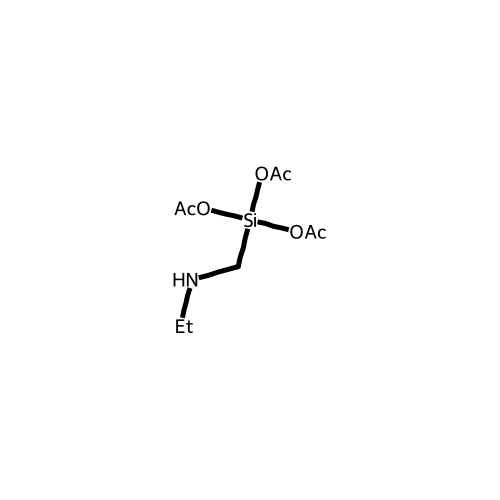 CCNC[Si](OC(C)=O)(OC(C)=O)OC(C)=O